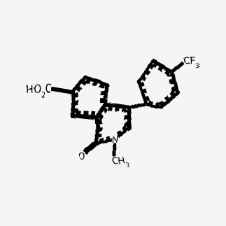 Cn1cc(-c2ccc(C(F)(F)F)cc2)c2ccc(C(=O)O)cc2c1=O